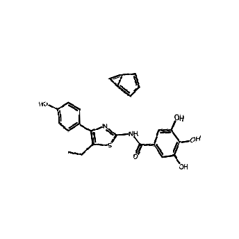 CCc1sc(NC(=O)c2cc(O)c(O)c(O)c2)nc1-c1ccc(O)cc1.c1cc2cc-2c1